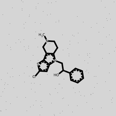 CN1CCc2c(c3sc(Cl)cc3n2CC(O)c2ccccc2)C1